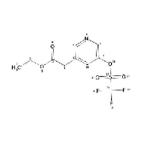 CCOC(=O)Cc1cncc(OS(=O)(=O)C(F)(F)F)c1